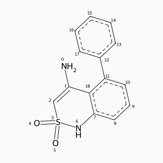 NC1=CS(=O)(=O)Nc2cccc(-c3ccccc3)c21